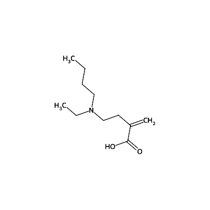 C=C(CCN(CC)CCCC)C(=O)O